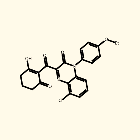 CCOc1ccc(-n2c(=O)c(C(=O)C3=C(O)CCCC3=O)nc3c(Cl)cccc32)cc1